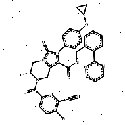 C[C@@H]1Cn2c(c(C(=O)NCc3ccccc3-c3ncccn3)n(-c3ccc(OC4CC4)cc3)c2=O)CN1C(=O)c1ccc(Br)c(C#N)c1